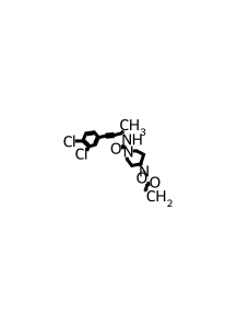 C=CC(=O)ON=C1CCN(C(=O)NC(C)C#Cc2ccc(Cl)c(Cl)c2)CC1